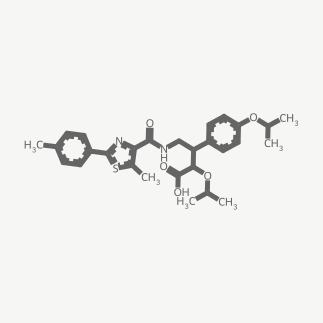 Cc1ccc(-c2nc(C(=O)NCC(c3ccc(OC(C)C)cc3)C(OC(C)C)C(=O)O)c(C)s2)cc1